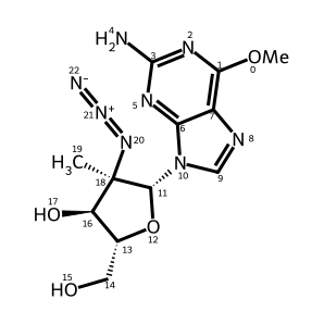 COc1nc(N)nc2c1ncn2[C@@H]1O[C@H](CO)[C@@H](O)[C@@]1(C)N=[N+]=[N-]